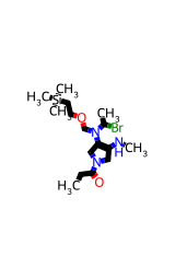 CCC(=O)N1CC(NC)=C(N(COCC[Si](C)(C)C)C(C)Br)C1